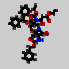 CCOC(=O)CC(=O)N(C(=O)OCC)C1(C(=O)OC(c2ccccc2)c2ccccc2)CS[C@@H]2C(NC(=O)OCc3ccccc3)C(=O)N2C1